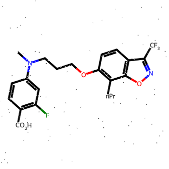 CCCc1c(OCCCN(C)c2ccc(C(=O)O)c(F)c2)ccc2c(C(F)(F)F)noc12